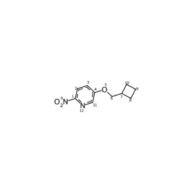 O=[N+]([O-])c1ccc(OCC2CCC2)cn1